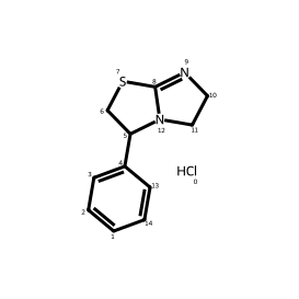 Cl.c1ccc(C2CSC3=NCCN32)cc1